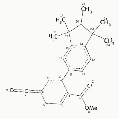 COC(=O)C1=CCC(=C=O)C=C1c1ccc2c(c1)C(C)(C)C(C)C2(C)C